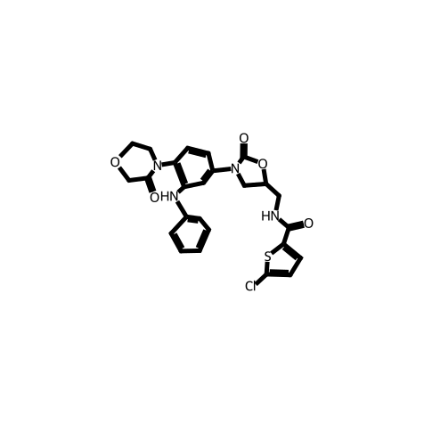 O=C(NCC1CN(c2ccc(N3CCOCC3=O)c(Nc3ccccc3)c2)C(=O)O1)c1ccc(Cl)s1